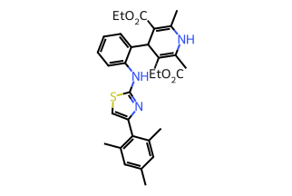 CCOC(=O)C1=C(C)NC(C)=C(C(=O)OCC)C1c1ccccc1Nc1nc(-c2c(C)cc(C)cc2C)cs1